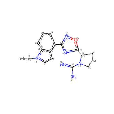 CCCCCCCn1ccc2c(-c3noc([C@@H]4CCCN4C(=N)N)n3)cccc21